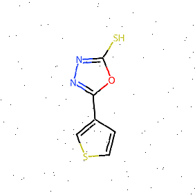 Sc1nnc(-c2ccsc2)o1